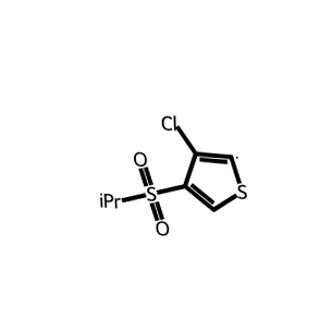 CC(C)S(=O)(=O)c1cs[c]c1Cl